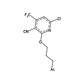 [C-]#[N+]c1c(C(F)(F)F)cc(Cl)nc1OCCCC(C)=O